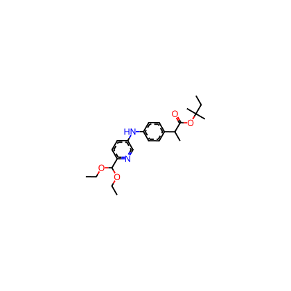 CCOC(OCC)c1ccc(Nc2ccc(C(C)C(=O)OC(C)(C)CC)cc2)cn1